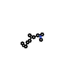 c1ccc(-n2c3ccccc3c3ccc(-c4ccc5c(c4)-c4ccccc4C5c4ccc5cc(-c6cccc7c6-c6ccccc6C7)ccc5c4)cc32)cc1